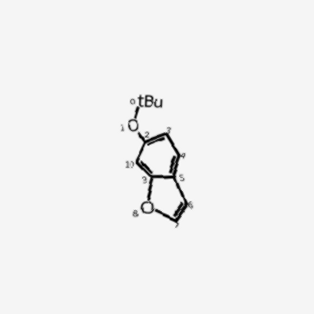 CC(C)(C)Oc1ccc2ccoc2c1